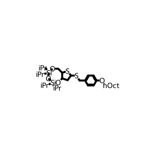 CCCCCCCCOc1ccc(CSC2CC3O[Si](C(C)C)(C(C)C)O[Si](C(C)C)(C(C)C)OCC3S2)cc1